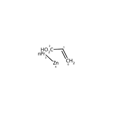 C=CC(=O)O.CC[CH2][Zn]